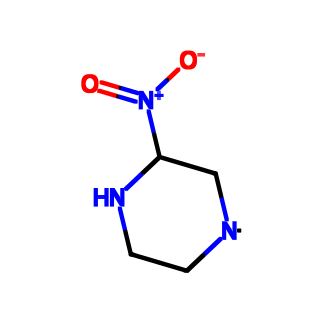 O=[N+]([O-])C1C[N]CCN1